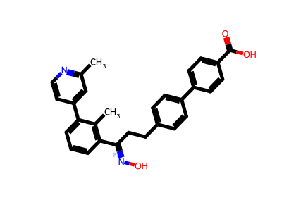 Cc1cc(-c2cccc(/C(CCc3ccc(-c4ccc(C(=O)O)cc4)cc3)=N/O)c2C)ccn1